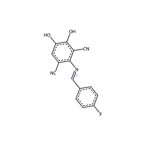 N#Cc1cc(O)c(O)c(C#N)c1/N=C/c1ccc(F)cc1